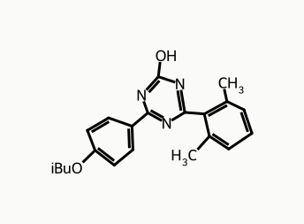 Cc1cccc(C)c1-c1nc(O)nc(-c2ccc(OCC(C)C)cc2)n1